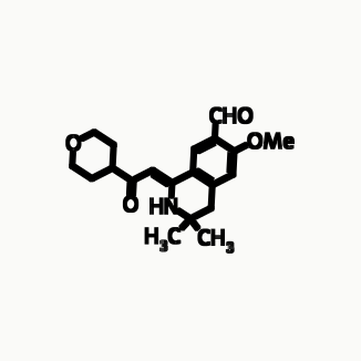 COc1cc2c(cc1C=O)C(=CC(=O)C1CCOCC1)NC(C)(C)C2